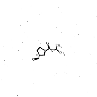 CC(C)OC(=O)N1CC[C@H](C=O)C1